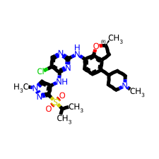 CC(C)S(=O)(=O)c1nn(C)cc1Nc1nc(Nc2ccc(C3CCN(C)CC3)c3c2O[C@H](C)C3)ncc1Cl